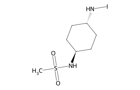 CS(=O)(=O)N[C@H]1CC[C@H](NI)CC1